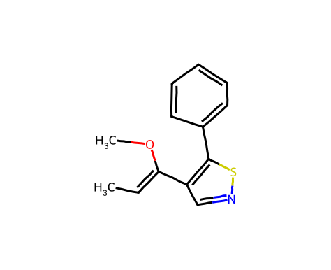 C/C=C(\OC)c1cnsc1-c1ccccc1